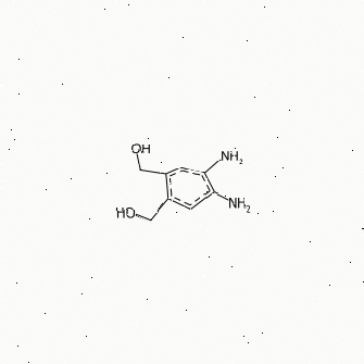 Nc1cc(CO)c(CO)cc1N